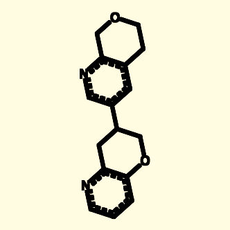 c1cnc2c(c1)OCC(c1cnc3c(c1)CCOC3)C2